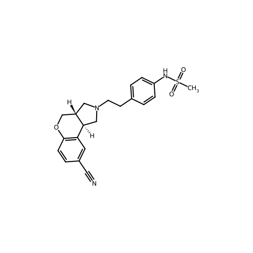 CS(=O)(=O)Nc1ccc(CCN2C[C@H]3COc4ccc(C#N)cc4[C@@H]3C2)cc1